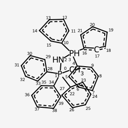 CP(N[PH](c1ccccc1)(c1ccccc1)c1ccccc1)(c1ccccc1)(c1ccccc1)c1ccccc1